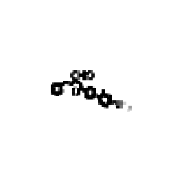 Cc1cc(N)ccc1-c1ccc(C(=O)CC(C=O)CCc2ccccc2)cc1